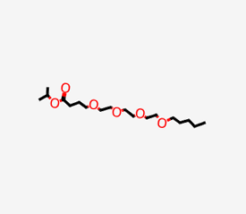 CCCCCOCCOCCOCCOCCCC(=O)OC(C)C